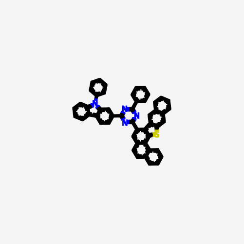 c1ccc(-c2nc(-c3ccc4c5ccccc5n(-c5ccccc5)c4c3)nc(-c3cc4ccc5ccccc5c4c4sc5cc6ccccc6cc5c34)n2)cc1